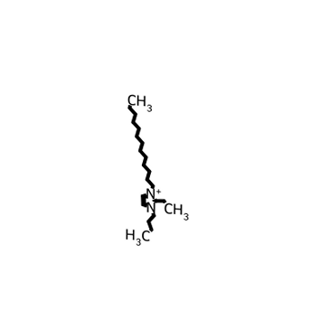 CCCCCCCCCCCCC[n+]1ccn(CCCC)c1CC